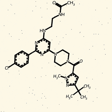 CC(=O)NCCNc1cc(N2CCN(C(=O)c3cc(C(C)(C)C)nn3C)CC2)nc(-c2ccc(Cl)cc2)n1